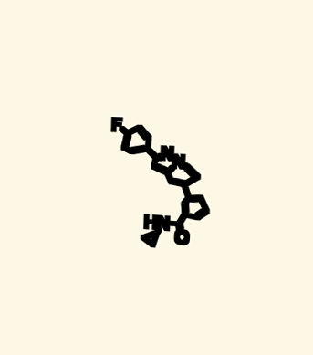 O=C(NC1CC1)c1cccc(-c2ccn3nc(-c4ccc(F)cc4)cc3c2)c1